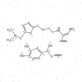 CN/C(=C/[N+](=O)[O-])NCCSCc1ccc(CN(C)C)o1.CNCC(O)c1ccc(O)c(O)c1